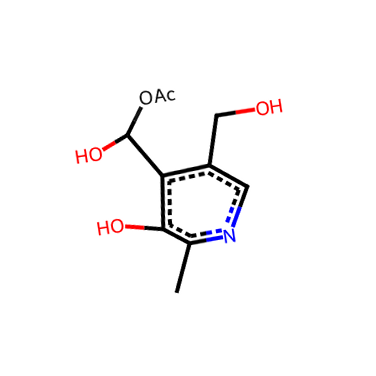 CC(=O)OC(O)c1c(CO)cnc(C)c1O